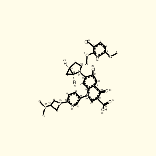 COc1ccc(Cl)c(OC[C@H]2C[C@@H]3C[C@@H]3N2c2cc3c(cc2Cl)c(=O)c(C(=O)O)cn3-c2ccc(N3CC(N(C)C)C3)nc2)n1